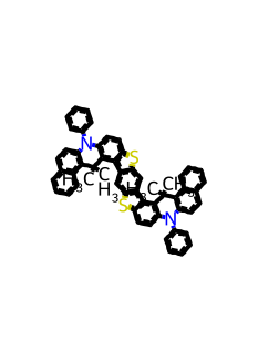 CC1(C)c2c(ccc3ccccc23)N(c2ccccc2)c2ccc3sc4cc5c(cc4c3c21)sc1ccc2c(c15)C(C)(C)c1c(ccc3ccccc13)N2c1ccccc1